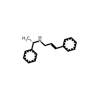 C[C@H](NCC=Cc1ccccc1)c1ccccc1